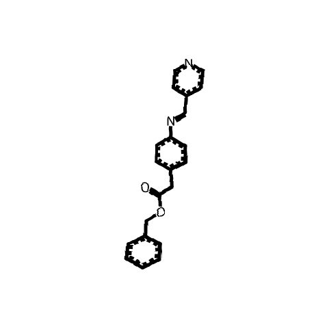 O=C(Cc1ccc(N=Cc2ccncc2)cc1)OCc1ccccc1